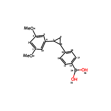 COc1cc(OC)cc(C2CC2c2ccc(B(O)O)cc2)c1